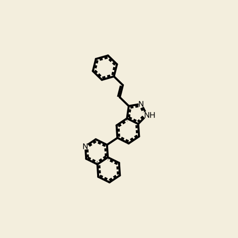 C(=C\c1n[nH]c2ccc(-c3cncc4ccccc34)cc12)/c1ccccc1